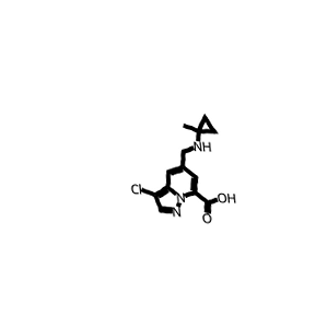 CC1(NCc2cc(C(=O)O)n3ncc(Cl)c3c2)CC1